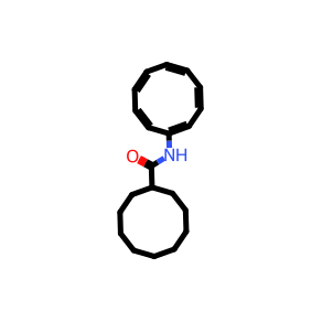 O=C(Nc1ccccccccc1)C1CCCCCCCCC1